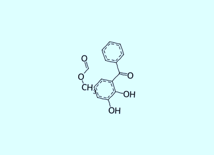 COC=O.O=C(c1ccccc1)c1cccc(O)c1O